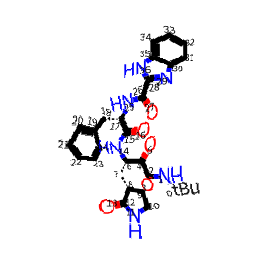 CC(C)(C)NC(=O)C(=O)[C@H](C[C@@H]1CCNC1=O)NC(=O)[C@H](Cc1ccccc1)NC(=O)c1nc2ccccc2[nH]1